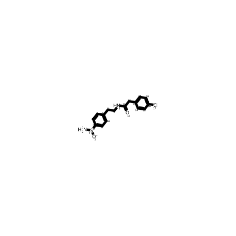 N[S+]([O-])c1ccc(CCNC(=O)Cc2ccc(Cl)cc2)cc1